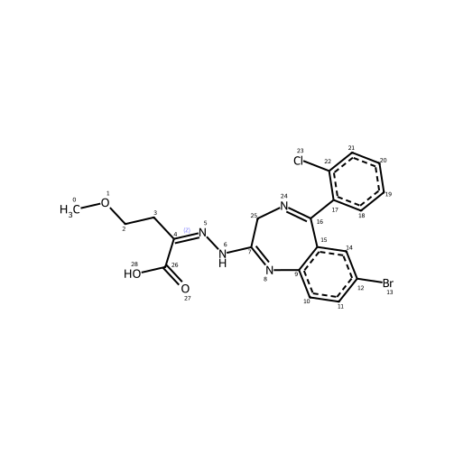 COCC/C(=N/NC1=Nc2ccc(Br)cc2C(c2ccccc2Cl)=NC1)C(=O)O